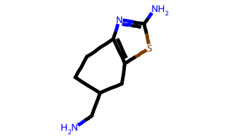 NCC1CCc2nc(N)sc2C1